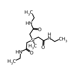 CCNC(=O)C[Si](C)(CC(=O)NCC)CC(=O)NCC